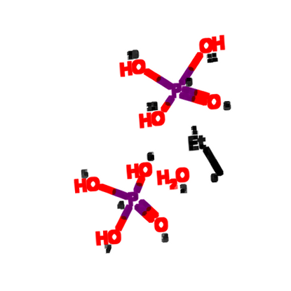 CCC.O.O=P(O)(O)O.O=P(O)(O)O